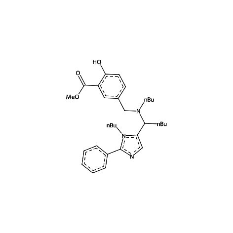 CCCCC(c1cnc(-c2ccccc2)n1CCCC)N(CCCC)Cc1ccc(O)c(C(=O)OC)c1